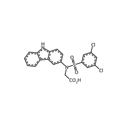 O=C(O)CN(c1ccc2[nH]c3ccccc3c2c1)S(=O)(=O)c1cc(Cl)cc(Cl)c1